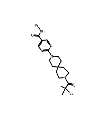 CCC(C)(C)C(=O)N1CCC2(CC1)CCN(c1ncc(C(=O)NC(C)C)cn1)CC2